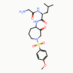 COc1ccc(S(=O)(=O)N2CCCC(NC(=O)[C@H](CC(C)C)NC(=O)CN)C(=O)C2)cc1